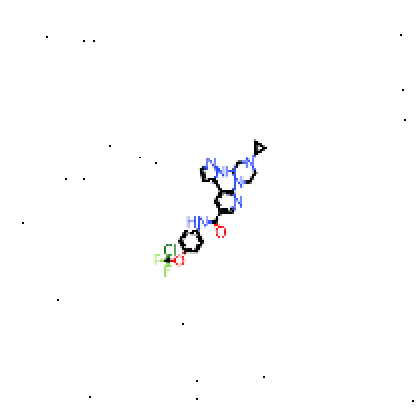 O=C(Nc1ccc(OC(F)(F)Cl)cc1)c1cnc(N2CCN(C3CC3)CC2)c(-c2ccn[nH]2)c1